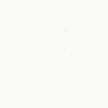 FC(Cl)C(F)(F)C(F)(F)C(F)(F)C(F)(F)C(F)(F)C(F)(F)C(F)(F)OC(F)(F)C(F)(F)F